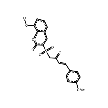 CCOc1cccc2cc(S(=O)(=O)CC(=O)C=Cc3ccc(OC)cc3)c(=O)oc12